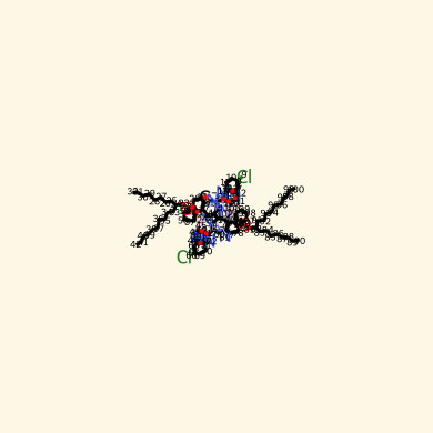 [C-]#[N+]/C(c1cnc2cc(Cl)ccc2n1)=c1\c2c(-c3cccc(OCC(CCCCCCCC)CCCCCCCCCC)c3)n(B(c3ccccc3)c3ccccc3)/c(=C(/C#N)c3cnc4cc(Cl)ccc4n3)c2c(-c2cccc(OCC(CCCCCCCC)CCCCCCCCCC)c2)n1B(c1ccccc1)c1ccccc1